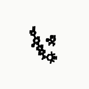 CN(c1nc2sc(-n3cnc(-c4cn[nH]c4)cc3=O)nc2s1)C1CC(C)(C)NC(C)(C)C1.O=C(O)C(F)(F)F